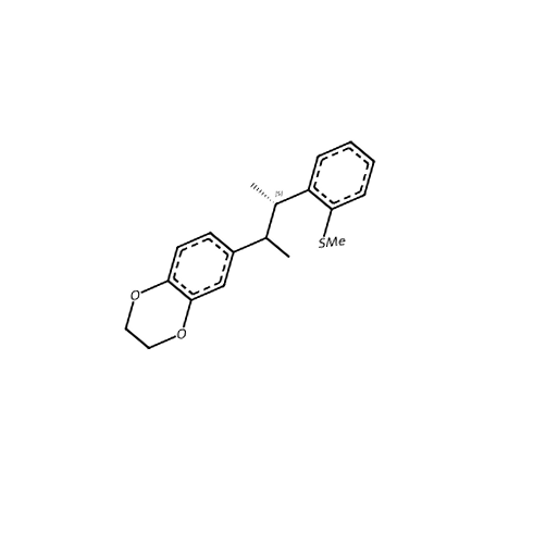 CSc1ccccc1[C@@H](C)C(C)c1ccc2c(c1)OCCO2